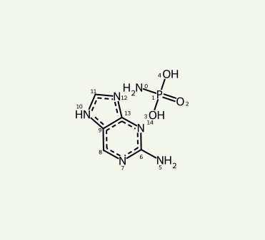 NP(=O)(O)O.Nc1ncc2[nH]cnc2n1